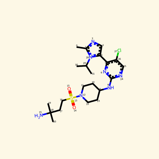 Cc1ncc(-c2nc(NC3CCN(S(=O)(=O)CCC(C)(C)N)CC3)ncc2Cl)n1C(C)C